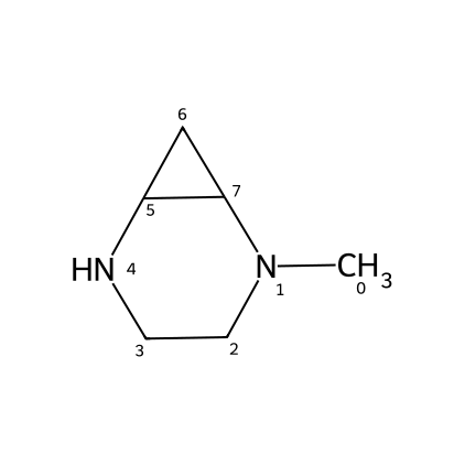 CN1CCNC2CC21